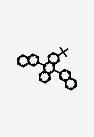 CC(C)(C)c1ccc2c(-c3ccc4ccccc4c3)c3ccccc3c(-c3ccc4ccccc4c3)c2c1